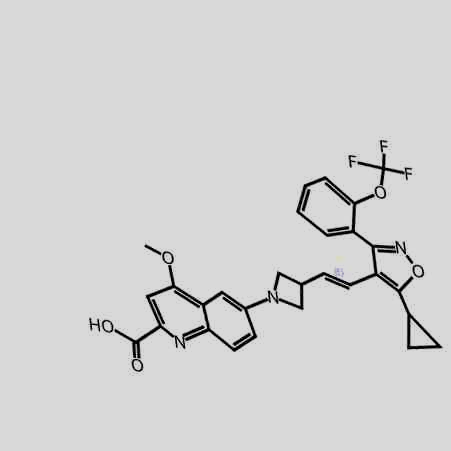 COc1cc(C(=O)O)nc2ccc(N3CC(/C=C/c4c(-c5ccccc5OC(F)(F)F)noc4C4CC4)C3)cc12